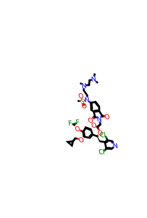 CN(C)CCN(C)CCN(c1ccc2c(c1)C(=O)N(CC(=O)O[C@@H](Cc1c(Cl)cncc1Cl)c1ccc(OC(F)F)c(OCC3CC3)c1)C2=O)S(C)(=O)=O